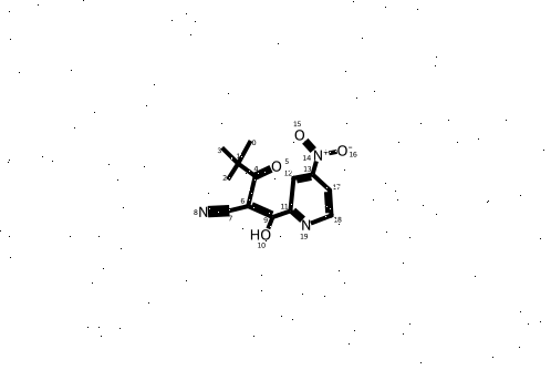 CC(C)(C)C(=O)C(C#N)=C(O)c1cc([N+](=O)[O-])ccn1